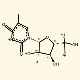 [2H]C([2H])(O)[C@H]1O[C@@H](n2cc(C)c(=O)[nH]c2=O)[C@](C)(O)[C@@H]1O